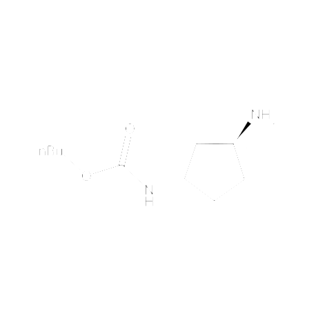 CCCCOC(=O)N[C@H]1CC[C@H](N)C1